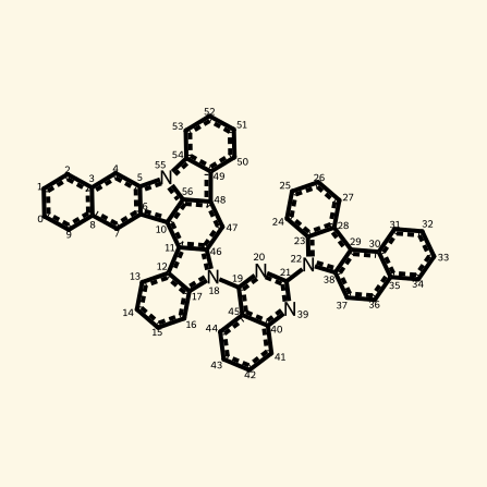 c1ccc2cc3c(cc2c1)c1c2c4ccccc4n(-c4nc(-n5c6ccccc6c6c7ccccc7ccc65)nc5ccccc45)c2cc2c4ccccc4n3c21